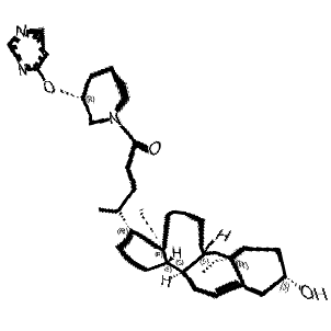 CC(CCC(=O)N1CCC[C@@H](Oc2ccncn2)C1)[C@H]1CC[C@H]2[C@@H]3CC=C4C[C@@H](O)CC[C@]4(C)[C@H]3CC[C@]12C